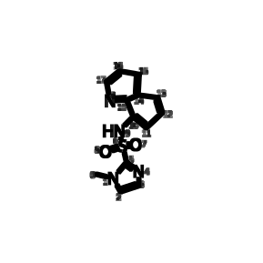 Cn1ccnc1S(=O)(=O)Nc1cccc2cccnc12